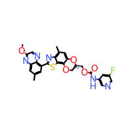 COc1cnc2c(-c3nc4c(C)cc5c(c4s3)OC[C@H](COC(=O)Nc3cncc(F)c3)O5)cc(C)cc2n1